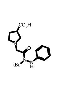 CC(C)(C)N(Nc1ccccc1)C(=O)CN1CCC(C(=O)O)C1